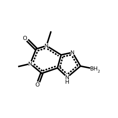 Bc1nc2c([nH]1)c(=O)n(C)c(=O)n2C